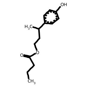 CCCC(=O)OCCC(C)c1ccc(O)cc1